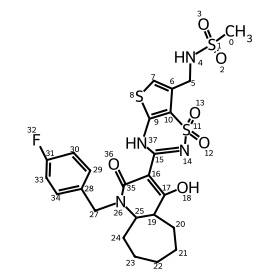 CS(=O)(=O)NCc1csc2c1S(=O)(=O)N=C(C1=C(O)C3CCCCCC3N(Cc3ccc(F)cc3)C1=O)N2